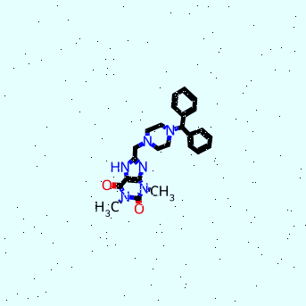 Cn1c(=O)c2[nH]c(CN3CCN(C(c4ccccc4)c4ccccc4)CC3)nc2n(C)c1=O